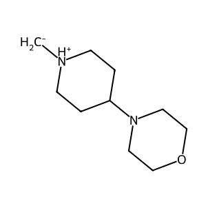 [CH2-][NH+]1CCC(N2CCOCC2)CC1